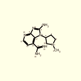 CN1CCC(n2c(N)nc3nccc(C(=N)N)c32)C1